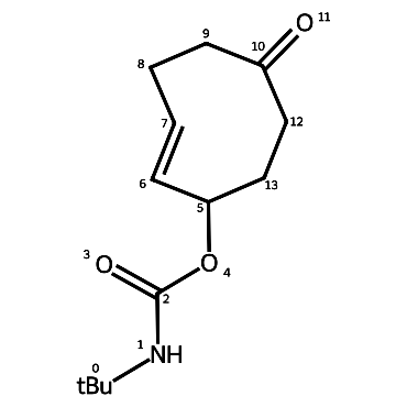 CC(C)(C)NC(=O)OC1/C=C/CCC(=O)CC1